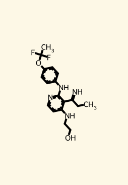 CCC(=N)c1c(NCCO)ccnc1Nc1ccc(OC(C)(F)F)cc1